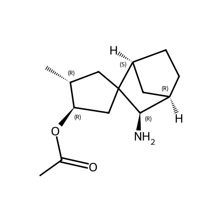 CC(=O)O[C@@H]1CC2(C[C@H]1C)[C@H]1CC[C@H](C1)[C@H]2N